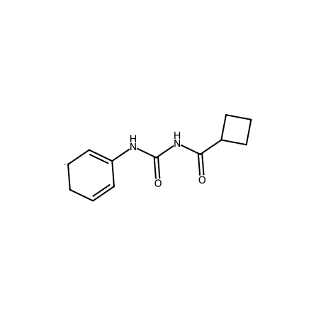 O=C(NC(=O)C1CCC1)NC1=C[CH]CC=C1